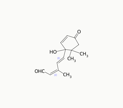 CC(=C/C=O)/C=C/C1(O)C=CC(=O)CC1(C)C